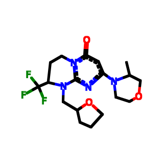 CC1COCCN1c1cc(=O)n2c(n1)N(CC1CCCO1)C(C(F)(F)F)CC2